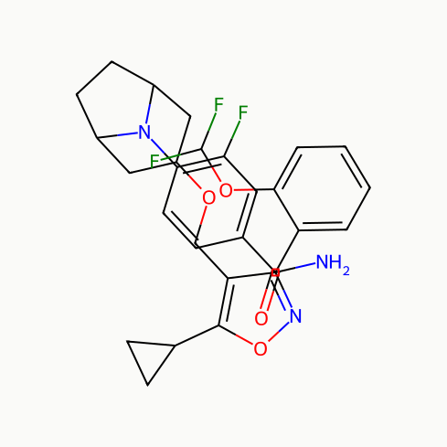 NC(=O)c1ccc(N2C3CCC2CC(OCc2c(-c4ccccc4OC(F)F)noc2C2CC2)C3)c(F)c1